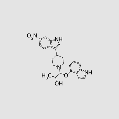 CC(O)C(Oc1cccc2[nH]ccc12)N1CCC(c2c[nH]c3cc([N+](=O)[O-])ccc23)CC1